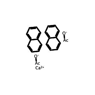 CC(=O)[O-].CC(=O)[O-].[Ca+2].c1ccc2ccccc2c1.c1ccc2ccccc2c1